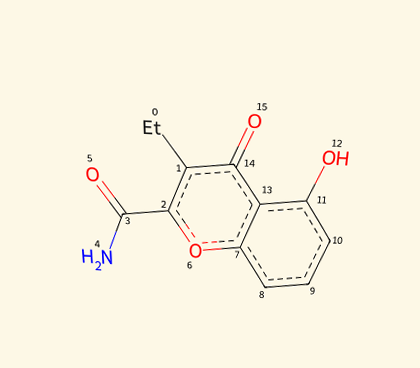 CCc1c(C(N)=O)oc2cccc(O)c2c1=O